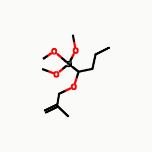 C=C(C)COC(CCC)[Si](OC)(OC)OC